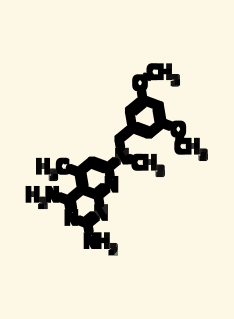 COc1cc(CN(C)c2cc(C)c3c(N)nc(N)nc3n2)cc(OC)c1